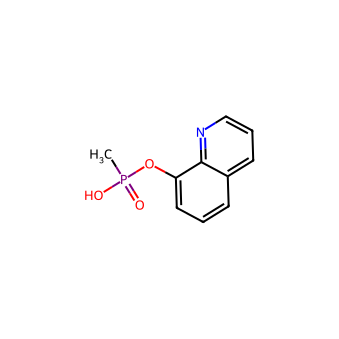 CP(=O)(O)Oc1cccc2cccnc12